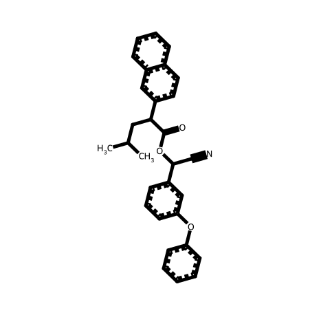 CC(C)CC(C(=O)OC(C#N)c1cccc(Oc2ccccc2)c1)c1ccc2ccccc2c1